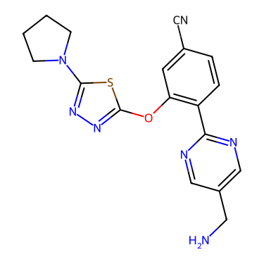 N#Cc1ccc(-c2ncc(CN)cn2)c(Oc2nnc(N3CCCC3)s2)c1